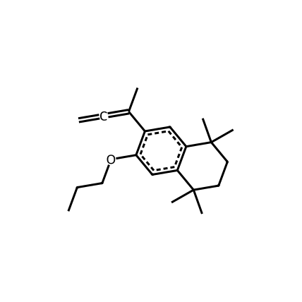 C=C=C(C)c1cc2c(cc1OCCC)C(C)(C)CCC2(C)C